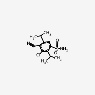 CC(C)c1cc(S(N)(=O)=O)c(C(C)C)c(Cl)c1C#N